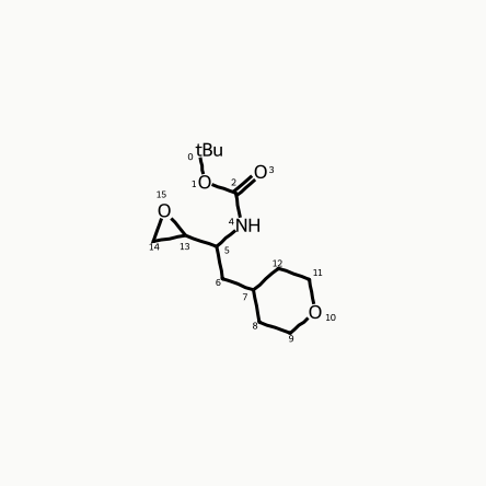 CC(C)(C)OC(=O)NC(CC1CCOCC1)C1CO1